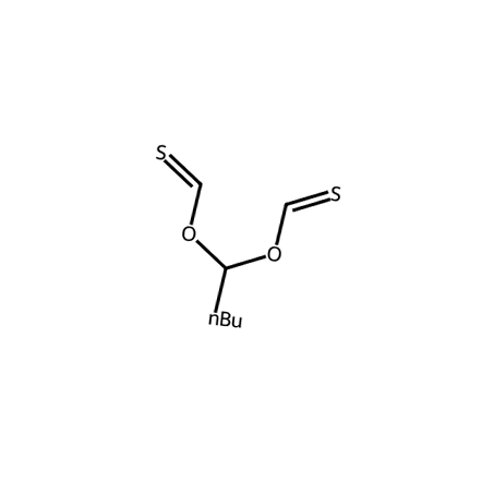 [CH2]CCCC(OC=S)OC=S